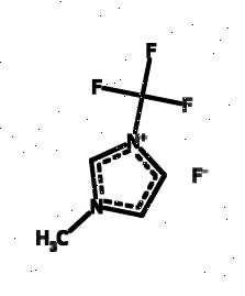 Cn1cc[n+](C(F)(F)F)c1.[F-]